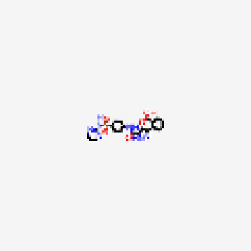 O=C(Nc1ccc(S(=O)(=O)Nc2ncccn2)cc1)c1cc(-c2ccccc2C(=O)O)n[nH]1